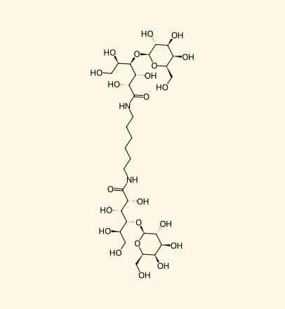 O=C(NCCCCCCNC(=O)[C@H](O)[C@@H](O)[C@H](O[C@@H]1O[C@H](CO)[C@H](O)[C@H](O)[C@H]1O)[C@H](O)CO)[C@H](O)[C@@H](O)[C@H](O[C@@H]1O[C@H](CO)[C@H](O)[C@H](O)[C@H]1O)[C@H](O)CO